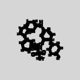 COc1cc(Nc2ncc3ccn(-c4cccc(NS(=O)(=O)C(C)C)c4)c3n2)ccc1N1CCN(C)CC1